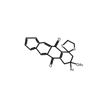 CC(=O)OC1(C(C)=O)CC2=C(C(=O)c3cc4ccccc4cc3C2=O)C2(C1)SCCS2